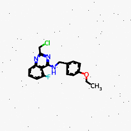 CCOc1ccc(CNc2nc(CCl)nc3cccc(F)c23)cc1